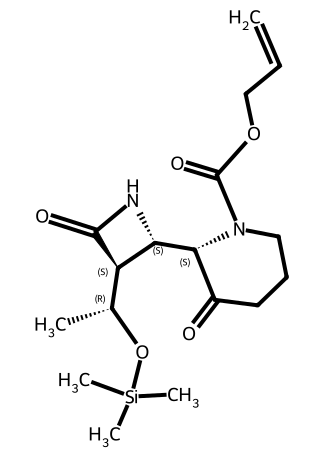 C=CCOC(=O)N1CCCC(=O)[C@@H]1[C@H]1NC(=O)[C@@H]1[C@@H](C)O[Si](C)(C)C